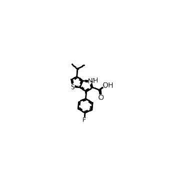 CC(C)c1csc2c(-c3ccc(F)cc3)c(C(=O)O)[nH]c12